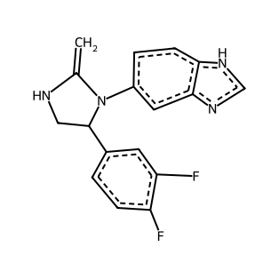 C=C1NCC(c2ccc(F)c(F)c2)N1c1ccc2[nH]cnc2c1